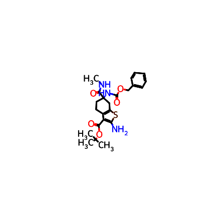 CNC(=O)C1(NC(=O)OCc2ccccc2)CCc2c(sc(N)c2C(=O)OC(C)(C)C)C1